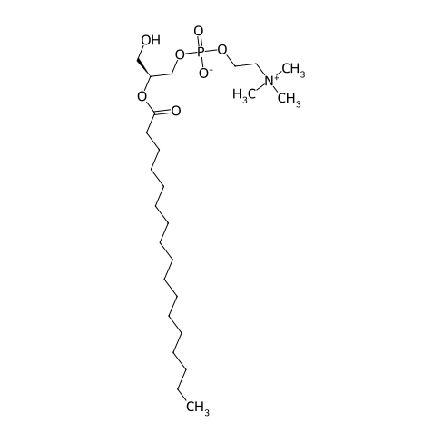 CCCCCCCCCCCCCCCCC(=O)O[C@@H](CO)COP(=O)([O-])OCC[N+](C)(C)C